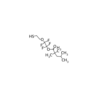 CC(C)CC(C)(C)C(=O)OC(F)(F)C(F)(F)OCCS